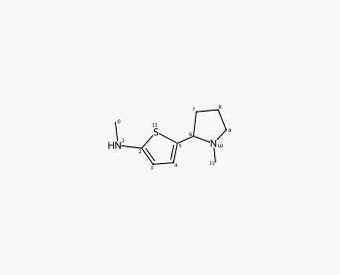 CNc1ccc(C2CCCN2C)s1